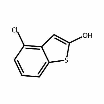 Oc1cc2c(Cl)cccc2s1